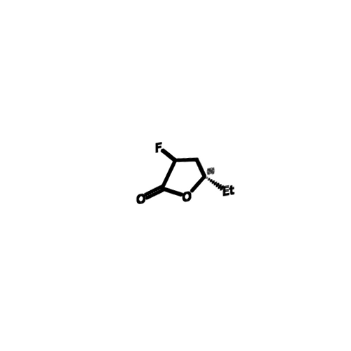 CC[C@H]1CC(F)C(=O)O1